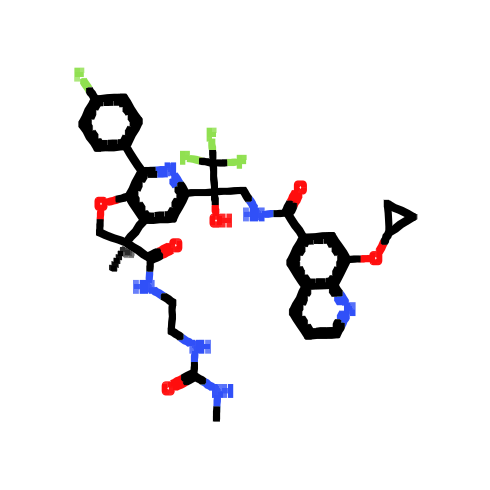 CNC(=O)NCCNC(=O)[C@@]1(C)COc2c1cc(C(O)(CNC(=O)c1cc(OC3CC3)c3ncccc3c1)C(F)(F)F)nc2-c1ccc(F)cc1